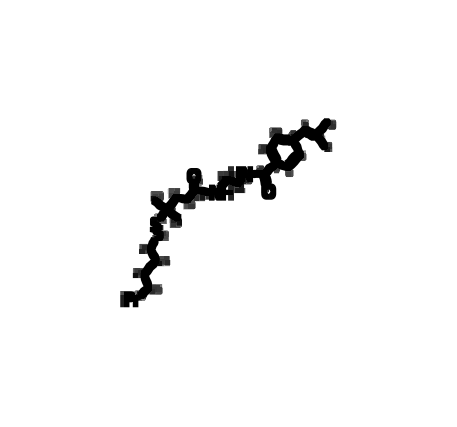 CC(C)=Cc1ccc(C(=O)NCCNC(=O)CCC(C)(C)SSCCCCC(C)C)cc1